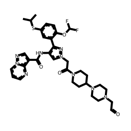 CC(C)Sc1ccc(OC(F)F)c(-c2nn(CC(=O)N3CCC(N4CCN(CC=O)CC4)CC3)cc2NC(=O)c2cnn3cccnc23)c1